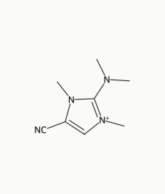 CN(C)c1n(C)c(C#N)c[n+]1C